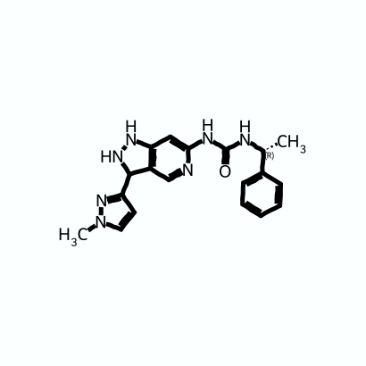 C[C@@H](NC(=O)Nc1cc2c(cn1)C(c1ccn(C)n1)NN2)c1ccccc1